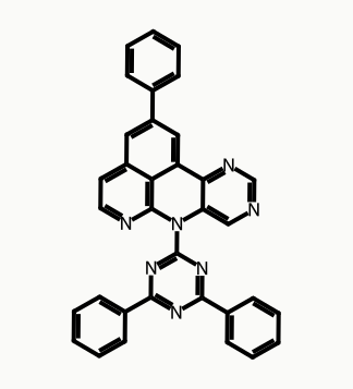 c1ccc(-c2cc3c4c(nccc4c2)N(c2nc(-c4ccccc4)nc(-c4ccccc4)n2)c2cncnc2-3)cc1